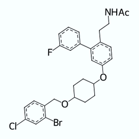 CC(=O)NCCc1ccc(OC2CCC(OCc3ccc(Cl)cc3Br)CC2)cc1-c1cccc(F)c1